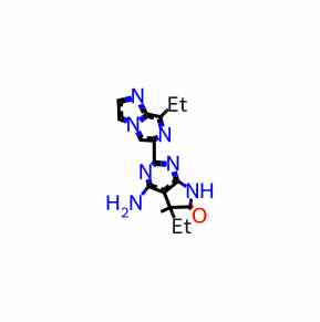 CCc1nc(-c2nc(N)c3c(n2)NC(=O)C3(C)CC)cn2ccnc12